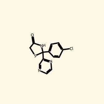 O=C1CSC(c2ccc(Cl)cc2)(c2cnccn2)N1